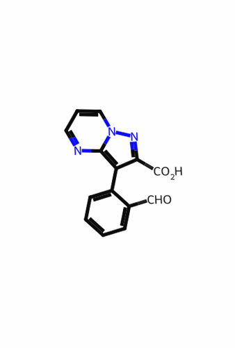 O=Cc1ccccc1-c1c(C(=O)O)nn2cccnc12